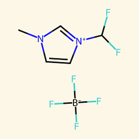 Cn1cc[n+](C(F)F)c1.F[B-](F)(F)F